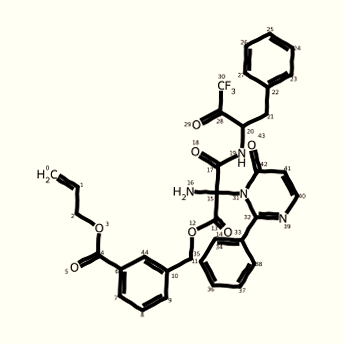 C=CCOC(=O)c1cccc(COC(=O)C(N)(C(=O)NC(Cc2ccccc2)C(=O)C(F)(F)F)n2c(-c3ccccc3)nccc2=O)c1